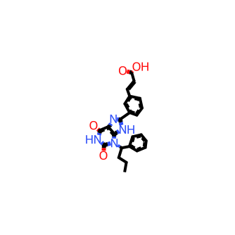 CCCC(c1ccccc1)n1c(=O)[nH]c(=O)c2nc(-c3cccc(/C=C/C(=O)O)c3)[nH]c21